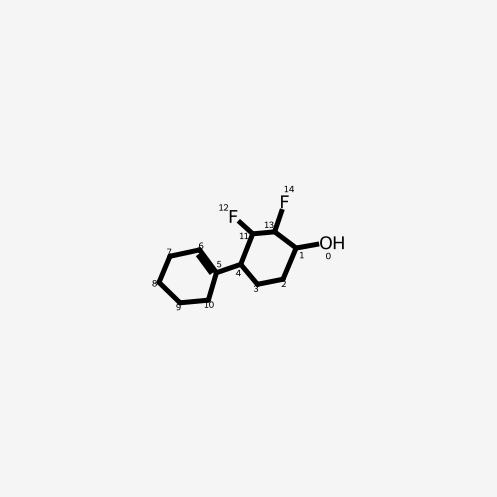 OC1CCC(C2=CCCCC2)C(F)C1F